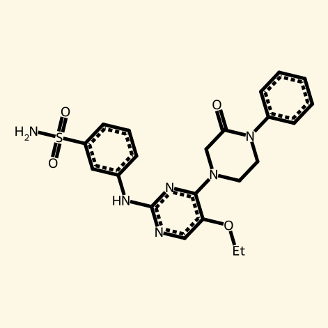 CCOc1cnc(Nc2cccc(S(N)(=O)=O)c2)nc1N1CCN(c2ccccc2)C(=O)C1